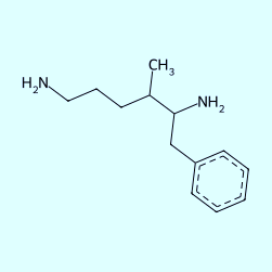 CC(CCCN)C(N)Cc1ccccc1